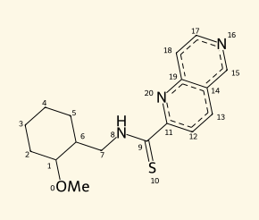 COC1CCCCC1CNC(=S)c1ccc2cnccc2n1